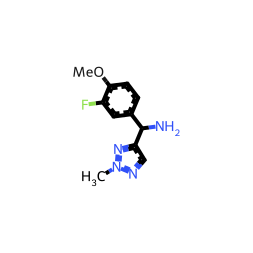 COc1ccc(C(N)c2cnn(C)n2)cc1F